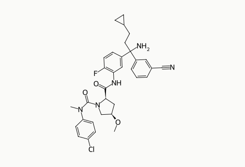 CO[C@@H]1C[C@H](C(=O)Nc2cc(C(N)(CCC3CC3)c3cccc(C#N)c3)ccc2F)N(C(=O)N(C)c2ccc(Cl)cc2)C1